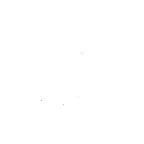 CCCN(CC1CN2C(N3CCN(C)CC3)=CC=CC2=N1)[C@H]1CCCc2cccnc21